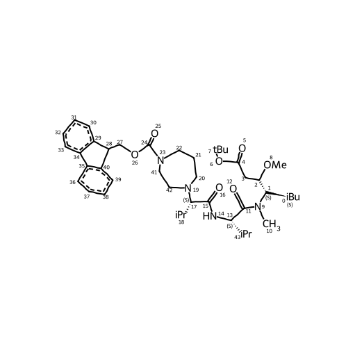 CC[C@H](C)[C@@H](C(CC(=O)OC(C)(C)C)OC)N(C)C(=O)[C@@H](NC(=O)[C@H](C(C)C)N1CCCN(C(=O)OCC2c3ccccc3-c3ccccc32)CC1)C(C)C